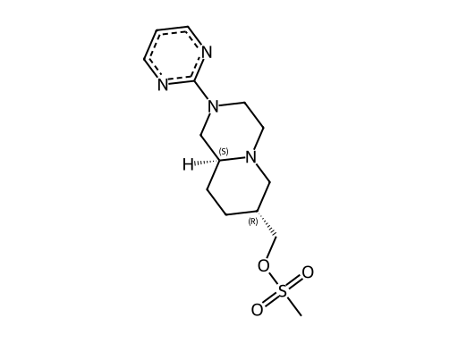 CS(=O)(=O)OC[C@@H]1CC[C@H]2CN(c3ncccn3)CCN2C1